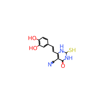 N#CC1=C(/C=C/c2ccc(O)c(O)c2)NC(S)NC1=O